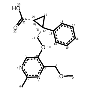 COCc1nc(C)ncc1OC[C@@]1(c2ccccc2)C[C@H]1C(=O)O